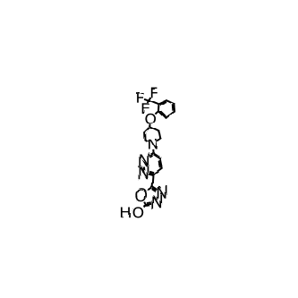 Oc1nnc(-c2ccc(N3CCC(Oc4ccccc4C(F)(F)F)CC3)nn2)o1